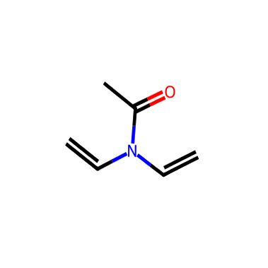 C=CN(C=C)C(C)=O